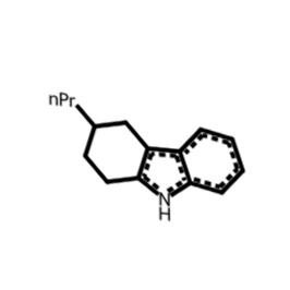 CCCC1CCc2[nH]c3ccccc3c2C1